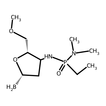 B[C@H]1CC(NP(=O)(CC)N(C)C)[C@@H](COC)O1